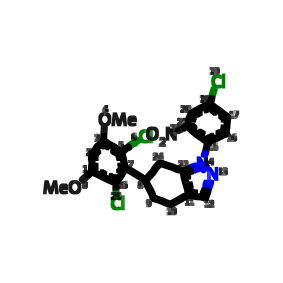 COc1cc(OC)c(Cl)c(C2CCc3cnn(-c4ccc(Cl)cc4[N+](=O)[O-])c3C2)c1Cl